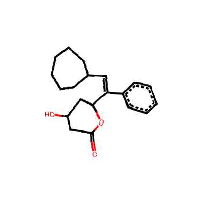 O=C1CC(O)CC(C(=CC2CCCCCC2)c2ccccc2)O1